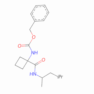 CC(C)CC(C)NC(=O)C1(NC(=O)OCc2ccccc2)CCC1